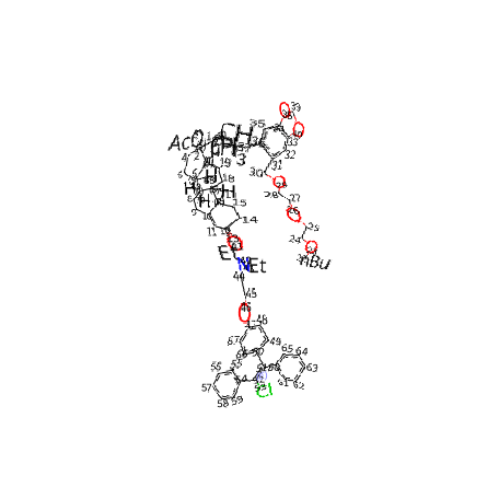 C#C[C@]1(OC(C)=O)CC[C@H]2[C@@H]3CCC4=CC(=O)CC[C@@H]4[C@H]3CC[C@@]21C.CCCCOCCOCCOCc1cc2c(cc1CCC)OCO2.CCN(CC)CCOc1ccc(/C(=C(/Cl)c2ccccc2)c2ccccc2)cc1